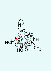 C=C[C@@]1(C)CC(=O)[C@]2(O)[C@@]3(C)[C@@H](O)CCC(C)(C)[C@@H]3[C@H](OC(=O)CN3CCCC3)[C@H](OC(C)=O)[C@@]2(C)O1.Cl